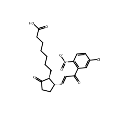 O=C(O)CCCCCC[C@@H]1C(=O)CC[C@H]1C=CC(=O)c1cc(Cl)ccc1[N+](=O)[O-]